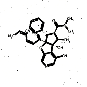 C=C(/C=C\C(C#N)=C/C)[C@@]12Oc3cncc(C#N)c3[C@]1(O)[C@H](C)[C@H](C(=O)N(C)C)[C@H]2c1ccccc1